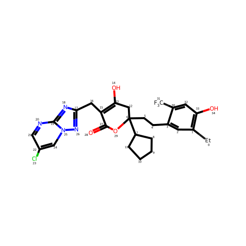 CCc1cc(CCC2(C3CCCC3)CC(O)=C(Cc3nc4ncc(Cl)cn4n3)C(=O)O2)c(C(F)(F)F)cc1O